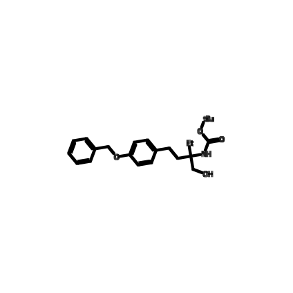 CCC(CO)(CCc1ccc(OCc2ccccc2)cc1)NC(=O)OC(C)(C)C